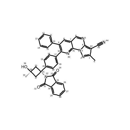 Cc1nn2c(ncc3cc(-c4ccccc4)c(-c4ccc([C@]5(N6C(=O)c7ccccc7C6=O)C[C@](C)(O)C5)cc4)nc32)c1C#N